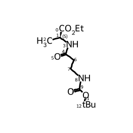 CCOC(=O)[C@H](C)NC(=O)CCNC(=O)OC(C)(C)C